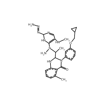 CNC1=C(N(N)C(C)C2Nc3cccc(C)c3C(=O)N2c2cccc(OCC3CC3)c2)NC(N=NN)N=C1